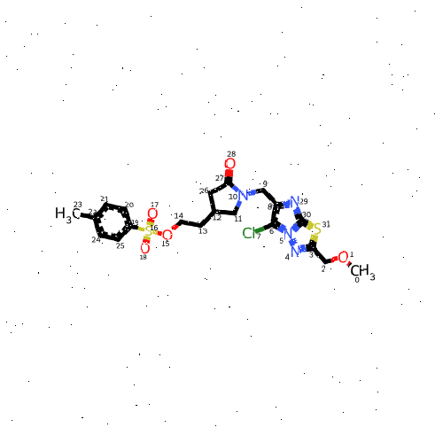 COCc1nn2c(Cl)c(CN3CC(CCOS(=O)(=O)c4ccc(C)cc4)CC3=O)nc2s1